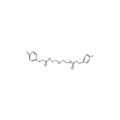 Cc1ccc(CCC(=O)OCCOCCOC(=O)CCc2ccc(C)cc2)cc1